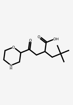 CC(C)(C)CC(CC(=O)C1CNCCO1)C(=O)O